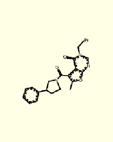 Cc1oc2ncn(CC(C)C)c(=O)c2c1C(=O)N1CCC(c2ccccc2)C1